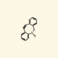 IN1Cc2ccccc2C#Cc2ccccc21